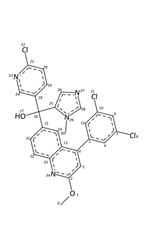 COc1cc(-c2cc(Cl)cc(Cl)c2)c2cc(C(O)(c3ccc(Cl)nc3)c3cncn3C)ccc2n1